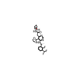 C[C@@H](Nc1ncnc(CC(=O)N[C@@H]2CC3CC2C3)c1C1OCCO1)c1cccc(C(F)F)c1F